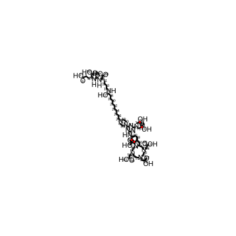 O=C(O)CC[C@H](NC(=O)N[C@@H](CCCCNC(O)CCCCCCCCCCN1CCN(c2nc(Nc3ccc(CC4CN(CC(=O)O)CCN(CC(=O)O)CCN(CC(=O)O)CCN4CC(=O)O)cc3)nc(N(CC(=O)O)CC(=O)O)n2)CC1)C(=O)O)C(=O)O